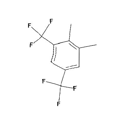 Cc1cc(C(F)(F)F)cc(C(F)(F)F)c1C